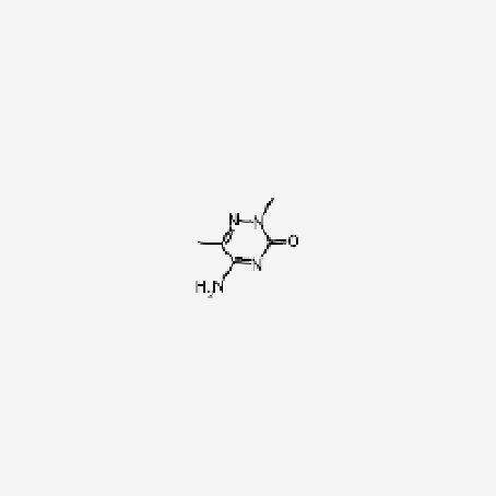 Cc1nn(C)c(=O)nc1N